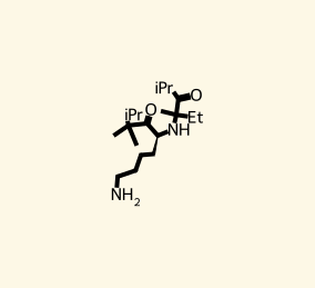 CCC(C)(N[C@@H](CCCCN)C(=O)C(C)(C)C(C)C)C(=O)C(C)C